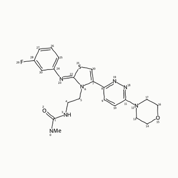 CNC(=O)NCCn1c(-c2ccc(N3CCOCC3)nn2)cs/c1=N\c1cccc(F)c1